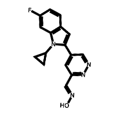 O/N=C/c1cc(-c2cc3ccc(F)cc3n2C2CC2)cnn1